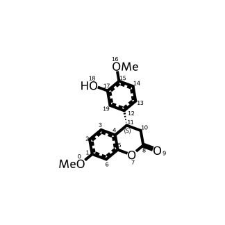 COc1ccc2c(c1)OC(=O)C[C@H]2c1ccc(OC)c(O)c1